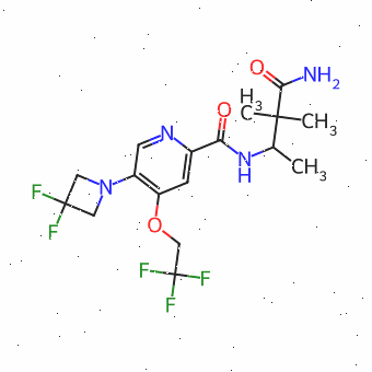 CC(NC(=O)c1cc(OCC(F)(F)F)c(N2CC(F)(F)C2)cn1)C(C)(C)C(N)=O